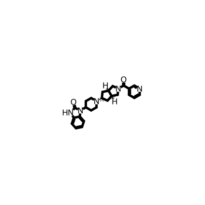 O=C(c1cccnc1)N1C[C@H]2C[C@H](N3CCC(n4c(=O)[nH]c5ccccc54)CC3)C[C@H]2C1